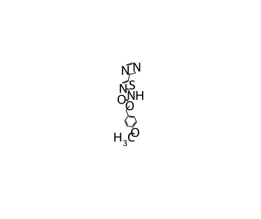 COc1ccc(COC(=O)Nc2ncc(-c3cnccn3)s2)cc1